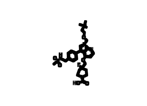 C[Si](C)(C)CCOCn1cc(-c2ccc(CNS(C)(=O)=O)cc2)c2c(OCC3(F)CCN(C(=O)O)CC3)ccnc21